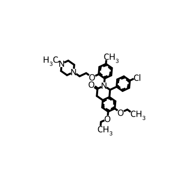 CCOc1cc2c(cc1OCC)C(c1ccc(Cl)cc1)N(c1ccc(C)cc1OCCN1CCN(C)CC1)C(=O)C2